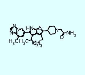 CCc1c(C2CCN(CC(N)=O)CC2)sc2[nH]c(-c3cc(C)c4ncnn4c3)c(C(C)C)c12